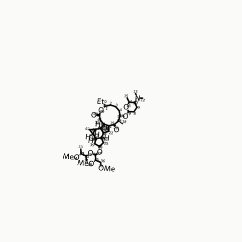 CC[C@H]1CCC[C@H](O[C@H]2CC[C@H](N(C)C)C(C)O2)[C@@H](C)C(=O)C2=C[C@H]3[C@@H]4C[C@H](OC(OC(C)[C@@H](C)OC)[C@H](COC)OC)C[C@H]4[C@@H]4C[C@@H]4[C@H]3[C@@H]2CC(=O)O1